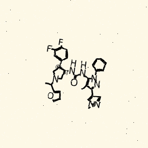 Cc1c(-c2cnn(C)c2)nn(-c2ccccc2)c1NC(=O)N[C@@H]1CN(C(C)c2ccco2)C[C@H]1c1ccc(F)c(F)c1